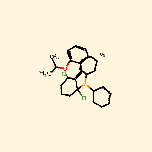 CC(C)Oc1ccccc1C=C1C(Cl)CCCC1(Cl)P(C1CCCCC1)C1CCCCC1.[Ru]